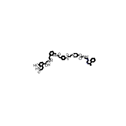 C=C(/C=C\C=C/CNC(=O)OC1CCN(CCC(=O)N(C)c2ccc(CC(=O)NCc3cccc(C[C@H](C)NC[C@H](O)c4ccc(O)c5[nH]c(=O)ccc45)c3)cc2)CC1)c1ccccc1